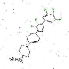 CCCCCC1CCC(C2=CCC(c3ccc(-c4cc(F)c(F)c(F)c4)c(F)c3F)CC2)CC1